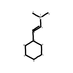 CP(C)C=CC1CCCCC1